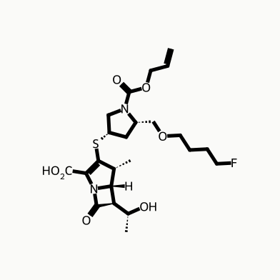 C=CCOC(=O)N1C[C@@H](SC2=C(C(=O)O)N3C(=O)[C@H]([C@@H](C)O)[C@H]3[C@H]2C)C[C@H]1COCCCCF